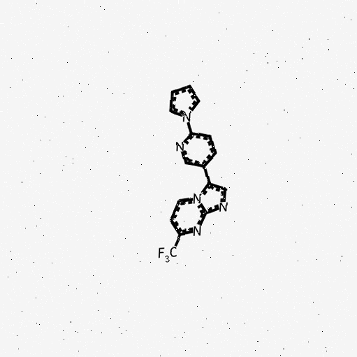 FC(F)(F)c1ccn2c(-c3ccc(-n4cccc4)nc3)cnc2n1